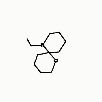 CCN1CCCCC12CCCCO2